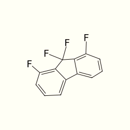 Fc1cccc2c1C(F)(F)c1c(F)cccc1-2